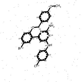 COc1ccc(COc2ccc(Br)cc2-c2cc(Nc3ccc(Cl)cc3)nc(N)n2)cc1